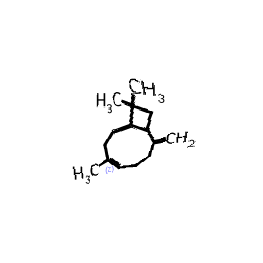 C=C1CC/C=C(/C)CCC2C1CC2(C)C